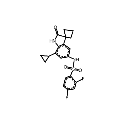 O=C1Nc2c(C3CC3)cc(NS(=O)(=O)c3ccc(F)cc3F)cc2C12CCC2